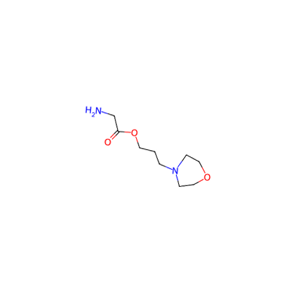 NCC(=O)OCCCN1CCOCC1